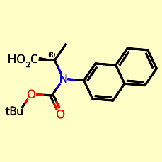 C[C@H](C(=O)O)N(C(=O)OC(C)(C)C)c1ccc2ccccc2c1